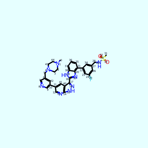 CN1CCN(Cc2cncc(-c3cnc4[nH]nc(-c5nc6c(-c7cc(F)cc(CNS(C)(=O)=O)c7)cccc6[nH]5)c4c3)c2)CC1